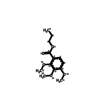 CCCOC(=O)c1ccc(OC)c(OC)c1OC